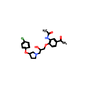 CC(=O)Nc1cc(C(C)=O)ccc1OCC(O)CN1CCC(Oc2ccc(Cl)cc2)C1